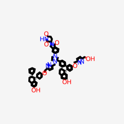 O=C1CCC(N2Cc3cc(N4CCN(Cc5ccc(COC6=CCC([C@@H]7c8ccc(O)cc8CC[C@@H]7c7ccccc7)C=C6)nn5)C(c5cccc([C@H]6CCc7cc(O)ccc7[C@H]6c6ccc(OCc7ccc(CO)nn7)cc6)c5)C4)ccc3C2=O)C(=O)N1